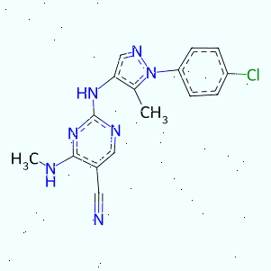 CNc1nc(Nc2cnn(-c3ccc(Cl)cc3)c2C)ncc1C#N